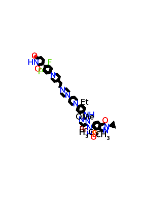 CCc1cc(Nc2ncc(Br)c(Nc3ccc4c(=O)n(C5CC5)ncc4c3P(C)(C)=O)n2)c(OC)cc1N1CCC(N2CCN(CCC3CCN(c4cc(F)c([C@H]5CCC(=O)NC5=O)c(F)c4)CC3)CC2)CC1